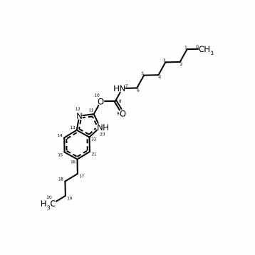 CCCCCCCNC(=O)Oc1nc2ccc(CCCC)cc2[nH]1